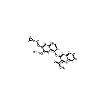 COc1cc2c(Oc3cc4ccccc4nc3C(C)=O)ccnc2cc1OCC1CO1